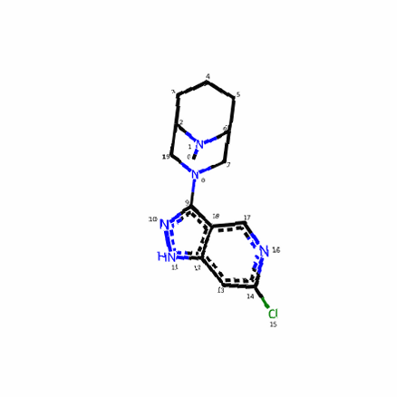 CN1C2CCCC1CN(c1n[nH]c3cc(Cl)ncc13)C2